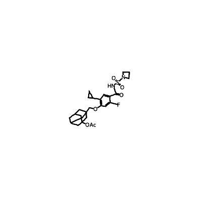 CC(=O)OC12CC3CC(CC(COc4cc(F)c(C(=O)NS(=O)(=O)N5CCC5)cc4C4CC4)(C3)C1)C2